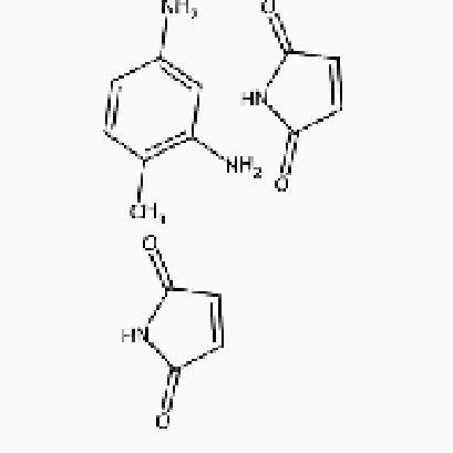 Cc1ccc(N)cc1N.O=C1C=CC(=O)N1.O=C1C=CC(=O)N1